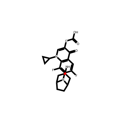 NC1CC2CCC(C1)N2c1c(F)cc2c(=O)c(OC(=O)O)cn(C3CC3)c2c1F